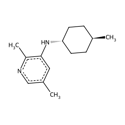 Cc1cnc(C)c(N[C@H]2CC[C@H](C)CC2)c1